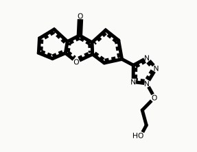 O=c1c2ccccc2oc2cc(-c3nnn(OCCO)n3)ccc12